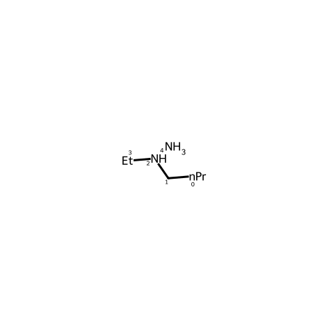 CCCCNCC.N